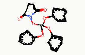 O=C1CCC(=O)N1[O][Ti]([O]c1ccccc1)([O]c1ccccc1)[O]c1ccccc1